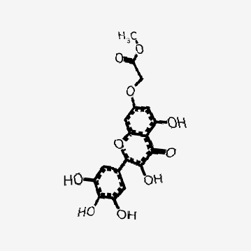 COC(=O)COc1cc(O)c2c(=O)c(O)c(-c3cc(O)c(O)c(O)c3)oc2c1